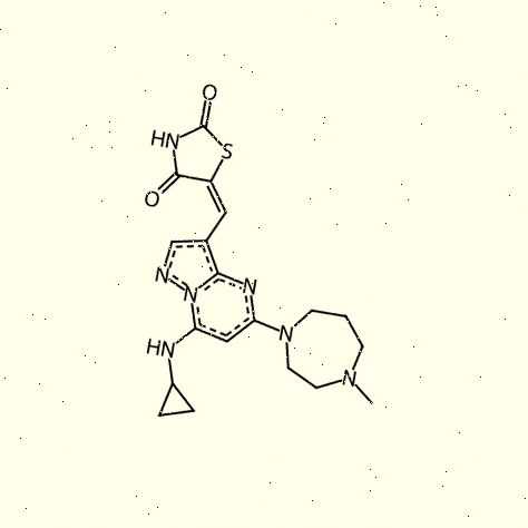 CN1CCCN(c2cc(NC3CC3)n3ncc(/C=C4/SC(=O)NC4=O)c3n2)CC1